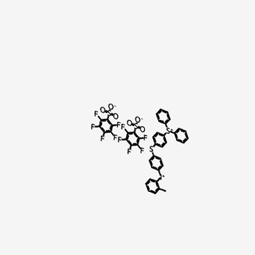 Cc1ccccc1[I+]c1ccc(Sc2ccc([S+](c3ccccc3)c3ccccc3)cc2)cc1.O=S(=O)([O-])c1c(F)c(F)c(F)c(F)c1F.O=S(=O)([O-])c1c(F)c(F)c(F)c(F)c1F